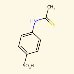 CC(=S)Nc1ccc(S(=O)(=O)O)cc1